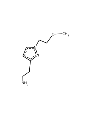 COCCn1ccc(CCN)n1